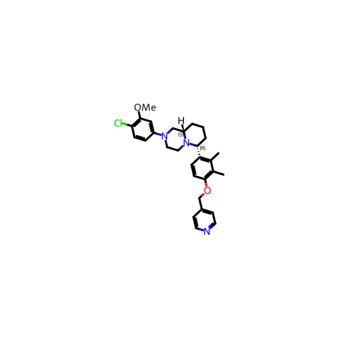 COc1cc(N2CCN3[C@@H](CCC[C@@H]3c3ccc(OCc4ccncc4)c(C)c3C)C2)ccc1Cl